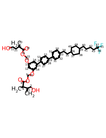 C=C(CO)C(=C)C(=O)OCOc1cc(OCOC(=O)C(=C)CCO)cc(-c2ccc(-c3ccc(CCC4CCC(CCCCC(F)(F)F)CC4)cc3)cc2)c1